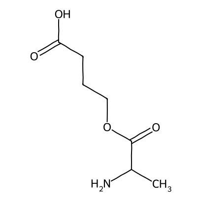 CC(N)C(=O)OCCCC(=O)O